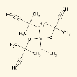 C#CC(C)(C)O[Si](CC)(OC(C)(C)C#C)OC(C)(C)C#C